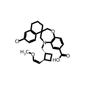 CO/C=C\[C@@H]1CC[C@H]1CN1CC2(CCCc3cc(Cl)ccc32)COc2ccc(C(=O)O)cc21